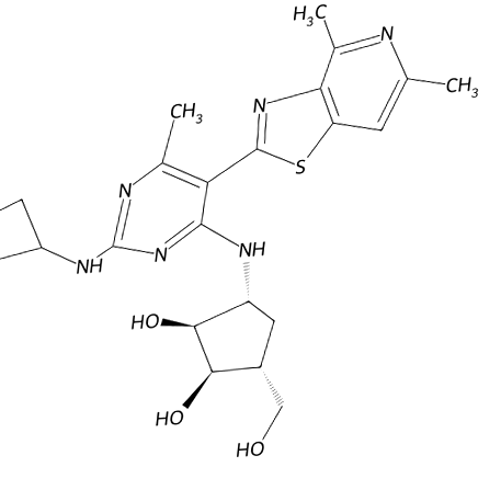 Cc1cc2sc(-c3c(C)nc(NC4CCC4)nc3N[C@@H]3C[C@H](CO)[C@@H](O)[C@H]3O)nc2c(C)n1